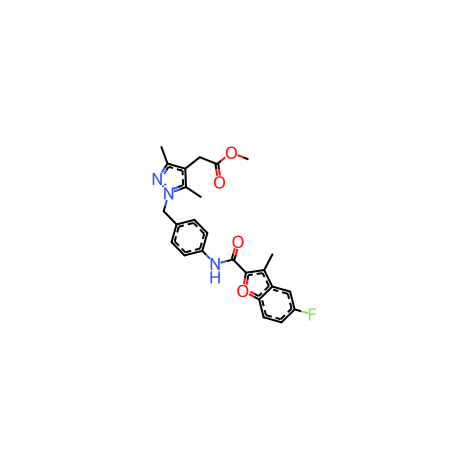 COC(=O)Cc1c(C)nn(Cc2ccc(NC(=O)c3oc4ccc(F)cc4c3C)cc2)c1C